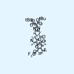 Cc1ncc(-c2ccn3nc(N(C(=O)OC(C)(C)C)C(=O)OC(C)(C)C)nc3c2)cc1C(=O)N(C(=O)OCCl)[C@H](C)c1cc(OC(F)(F)F)ccc1F